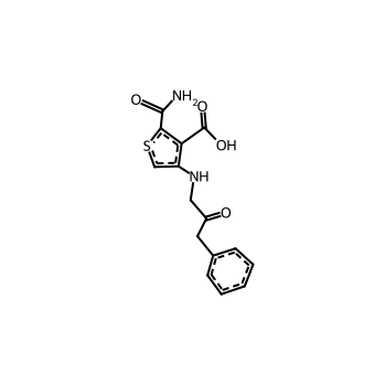 NC(=O)c1scc(NCC(=O)Cc2ccccc2)c1C(=O)O